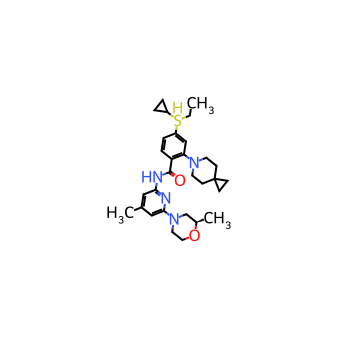 CC[SH](c1ccc(C(=O)Nc2cc(C)cc(N3CCO[C@H](C)C3)n2)c(N2CCC3(CC2)CC3)c1)C1CC1